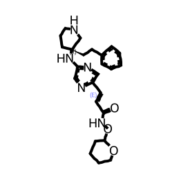 O=C(/C=C/c1cnc(N[C@]2(CCc3ccccc3)CCCNC2)cn1)NOC1CCCCO1